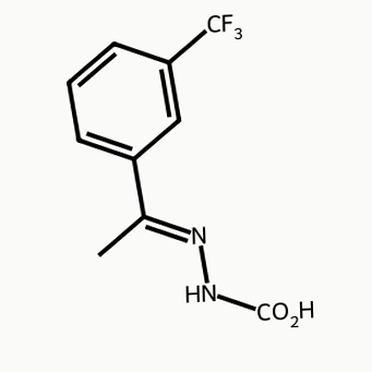 CC(=NNC(=O)O)c1cccc(C(F)(F)F)c1